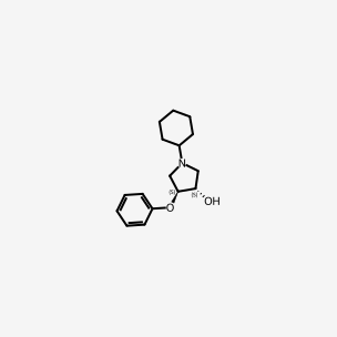 O[C@H]1CN(C2CCCCC2)C[C@@H]1Oc1ccccc1